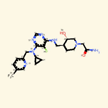 NC(=O)CN1CC[C@@H](CNc2ncnc(N(Cc3ccc(C(F)(F)F)cn3)C3CC3)c2F)[C@H](O)C1